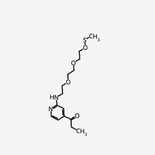 CCC(=O)c1ccnc(NCCOCCOCCOSC)c1